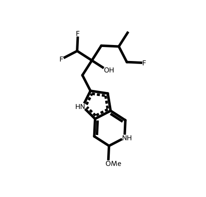 COC1C=c2[nH]c(CC(O)(CC(C)CF)C(F)F)cc2=CN1